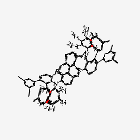 [2H]c1c([2H])c([2H])c(N(c2c(F)ccc(-c3cc(C)cc(C)c3)c2-c2cc(C)cc(C)c2)c2ccc3ccc4c(N(c5c([2H])c([2H])c([2H])c([2H])c5[2H])c5c(F)ccc(-c6cc(C)cc(C)c6)c5-c5cc(C)cc(C)c5)ccc5ccc2c3c54)c([2H])c1[2H]